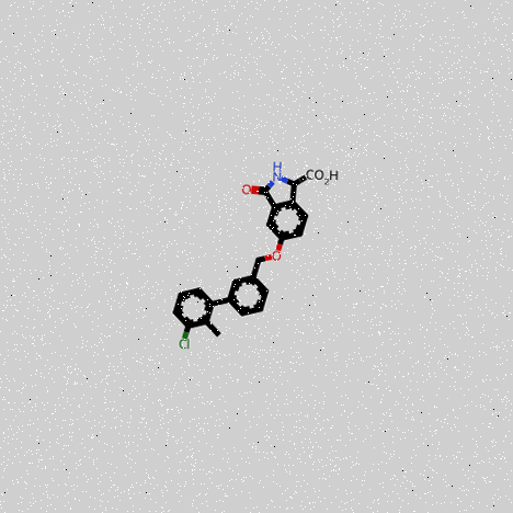 Cc1c(Cl)cccc1-c1cccc(COc2ccc3c(c2)C(=O)NC3C(=O)O)c1